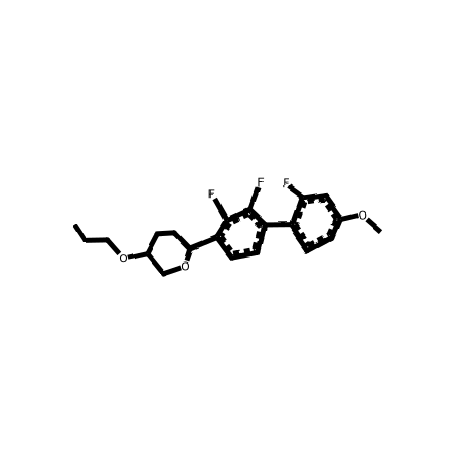 CCCOC1CCC(c2ccc(-c3ccc(OC)cc3F)c(F)c2F)OC1